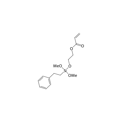 C=CC(=O)OCCO[Si](CCc1ccccc1)(OC)OC